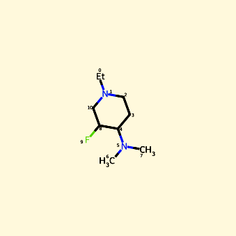 CCN1CCC(N(C)C)C(F)C1